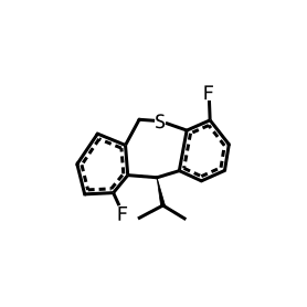 CC(C)[C@@H]1c2cccc(F)c2SCc2cccc(F)c21